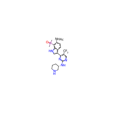 CC(=O)Nc1ccc2c(-c3nc(N[C@H]4CCCNC4)ncc3C(F)(F)F)c[nH]c2c1P(C)(C)=O